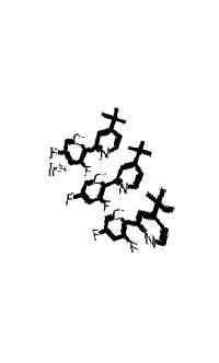 CC(C)(C)c1ccnc(-c2[c-]cc(F)cc2F)c1.CC(C)(C)c1ccnc(-c2[c-]cc(F)cc2F)c1.CC(C)(C)c1ccnc(-c2[c-]cc(F)cc2F)c1.[Ir+3]